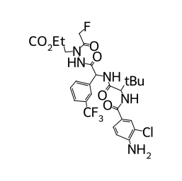 CCOC(=O)CN(NC(=O)C(NC(=O)C(NC(=O)c1ccc(N)c(Cl)c1)C(C)(C)C)c1cccc(C(F)(F)F)c1)C(=O)CF